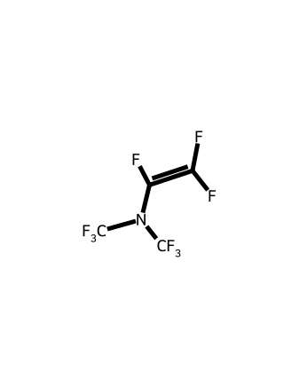 FC(F)=C(F)N(C(F)(F)F)C(F)(F)F